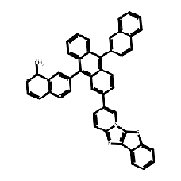 CC1CC=Cc2ccc(-c3c4ccccc4c(-c4ccc5ccccc5c4)c4ccc(-c5ccc6nc7c8ccccc8sc7n6c5)cc34)cc21